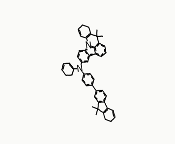 CC1(C)C2=C(C=CCC2)c2ccc(-c3ccc(N(C4=CC=CCC4)c4ccc5c(c4)c4cccc6c4n5C4=C(CCC=C4)C6(C)C)cc3)cc21